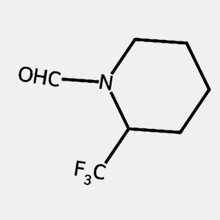 O=CN1CCCCC1C(F)(F)F